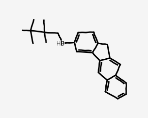 CC(C)(C)C(C)(C)CBc1ccc2c(c1)-c1cc3ccccc3cc1C2